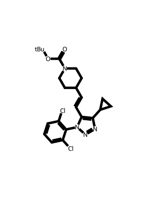 CC(C)(C)OC(=O)N1CCC(C=Cc2c(C3CC3)nnn2-c2c(Cl)cccc2Cl)CC1